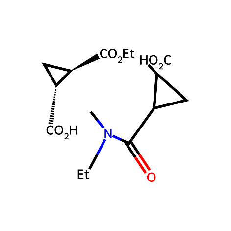 CCN(C)C(=O)C1CC1C(=O)O.CCOC(=O)[C@@H]1C[C@H]1C(=O)O